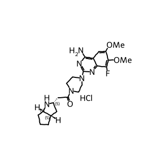 COc1cc2c(N)nc(N3CCN(C(=O)C[C@@H]4C[C@@H]5CCC[C@@H]5N4)CC3)nc2c(F)c1OC.Cl